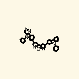 c1ccc(-n2c3ccccc3c3ccc(-c4cnc5oc6ncc(-c7ccc8c9nnccc9n(-c9ccccc9)c8c7)cc6c5c4)cc32)cc1